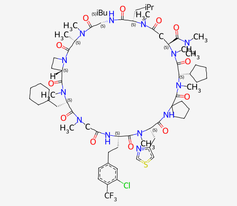 CC[C@H](C)[C@@H]1NC(=O)[C@H](CC(C)C)N(C)C(=O)C[C@@H](C(=O)N(C)C)N(C)C(=O)[C@H](C2CCCC2)N(C)C(=O)C2(CCCC2)NC(=O)[C@H](Cc2cscn2)N(C)C(=O)[C@H](CCc2ccc(C(F)(F)F)c(Cl)c2)NC(=O)CN(C)C(=O)[C@H](CC2CCCCC2)N(C)C(=O)[C@@H]2CCN2C(=O)[C@H](C)N(C)C1=O